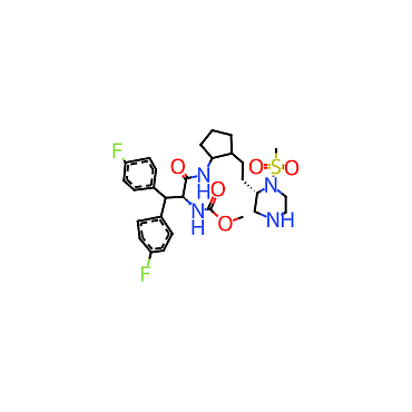 COC(=O)N[C@H](C(=O)NC1CCCC1CC[C@H]1CNCCN1S(C)(=O)=O)C(c1ccc(F)cc1)c1ccc(F)cc1